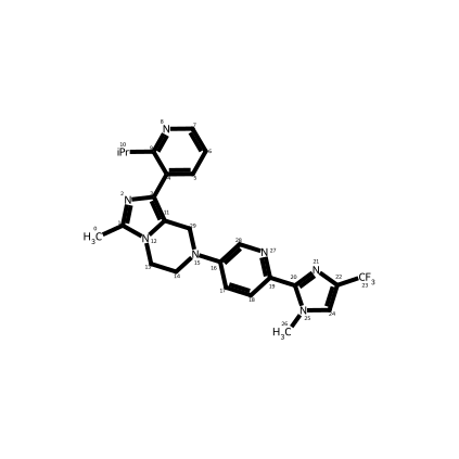 Cc1nc(-c2cccnc2C(C)C)c2n1CCN(c1ccc(-c3nc(C(F)(F)F)cn3C)nc1)C2